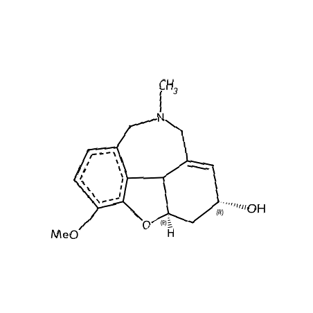 COc1ccc2c3c1O[C@@H]1C[C@@H](O)C=C(CN(C)C2)C31